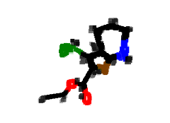 CCOC(=O)c1sc2ncccc2c1Br